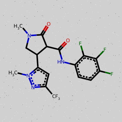 CN1CC(c2cc(C(F)(F)F)nn2C)C(C(=O)Nc2ccc(F)c(F)c2F)C1=O